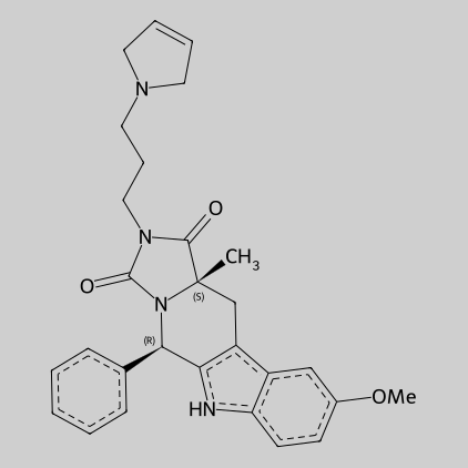 COc1ccc2[nH]c3c(c2c1)C[C@@]1(C)C(=O)N(CCCN2CC=CC2)C(=O)N1[C@@H]3c1ccccc1